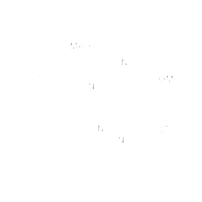 COc1nc(OC)c2c(C(F)(F)F)nn(C3(C4=CCCC=C4)CC3)c2n1